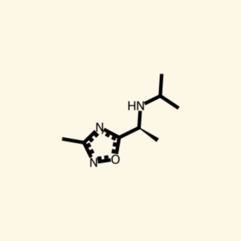 Cc1noc([C@H](C)NC(C)C)n1